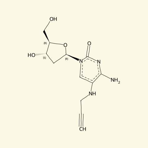 C#CCNc1cn([C@H]2C[C@H](O)[C@@H](CO)O2)c(=O)nc1N